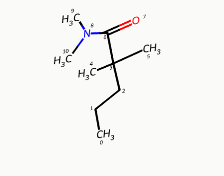 CCCC(C)(C)C(=O)N(C)C